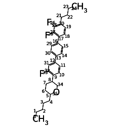 CCCCCC1CCC(c2ccc(-c3ccc(-c4ccc(CCCC)c(F)c4F)cc3)cc2F)CO1